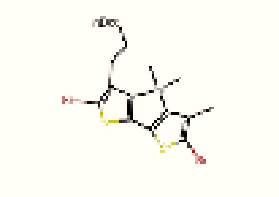 CCCCCCCCCCCCc1c(Br)sc2c1[Si](C)(C)c1c-2sc(Br)c1C